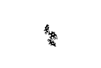 C#CCC(C)(CC)C(=O)OCc1cnc(C)c(O)c1COC(=O)C(C)(CC)CC#C